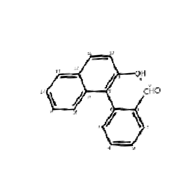 O=Cc1ccccc1-c1c(O)ccc2ccccc12